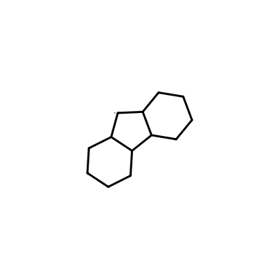 [CH]1C2CCCCC2C2CCCCC12